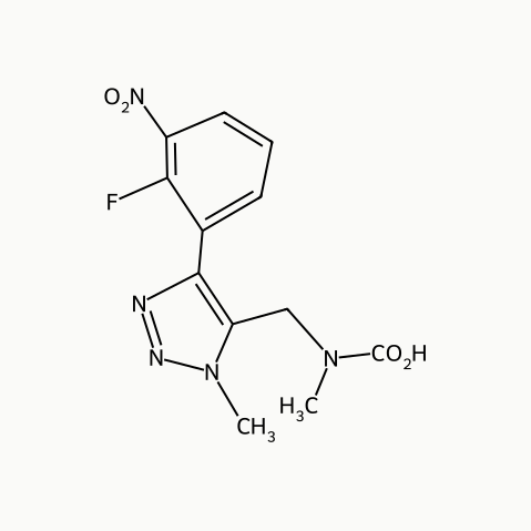 CN(Cc1c(-c2cccc([N+](=O)[O-])c2F)nnn1C)C(=O)O